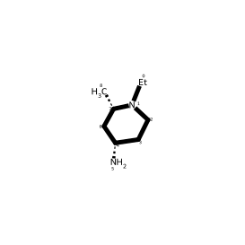 CCN1CC[C@H](N)C[C@@H]1C